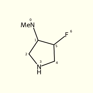 CNC1CNCC1F